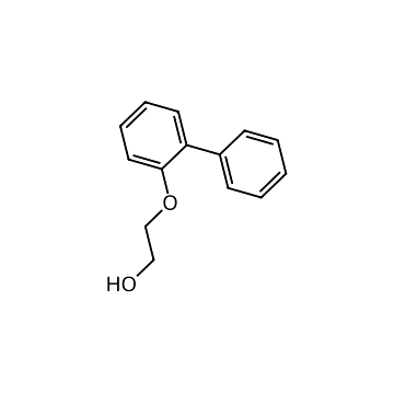 OCCOc1ccccc1-c1ccccc1